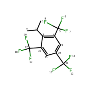 CC(C)c1c(C(F)(F)F)cc(C(F)(F)F)cc1C(F)(F)F